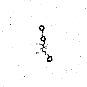 N[C@@H](Cc1ccc(OCc2ccccc2)cc1)C(=O)N[C@H](COCc1ccccc1)C(=O)O